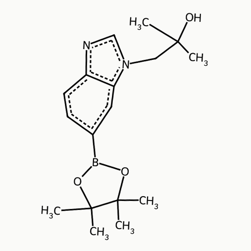 CC(C)(O)Cn1cnc2ccc(B3OC(C)(C)C(C)(C)O3)cc21